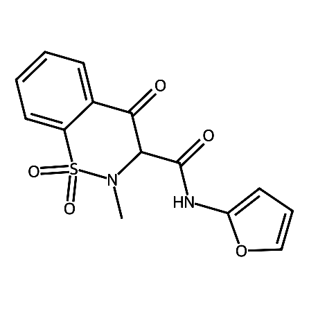 CN1C(C(=O)Nc2ccco2)C(=O)c2ccccc2S1(=O)=O